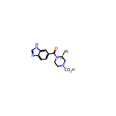 CC(C)[C@H]1CN(C(=O)O)CCN1C(=O)c1ccc2nc[nH]c2c1